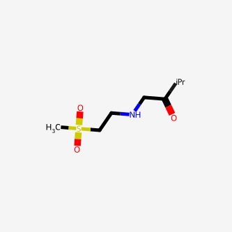 CC(C)C(=O)CNCCS(C)(=O)=O